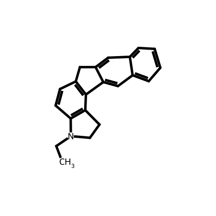 CCN1CCc2c1ccc1c2-c2cc3ccccc3cc2C1